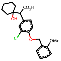 COc1ccccc1COc1ccc(C(C(=O)O)C2(O)CCCCC2)cc1Cl